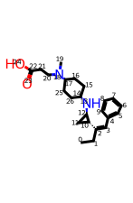 CCC(=Cc1ccccc1)[C@@H]1C[C@H]1N[C@H]1CC[C@H](N(C)CCC(=O)O)CC1